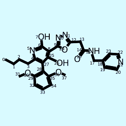 CCCCc1nc(O)c(-c2nnc(CC(=O)NCc3ccncc3)o2)c(O)c1-c1c(OC)cccc1OC